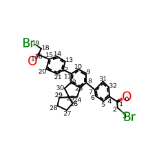 O=C(CBr)c1ccc(-c2ccc(-c3ccc(C(=O)CBr)cc3)c3c2CC2(CCCC2)C3)cc1